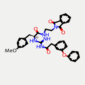 COc1ccc(C[C@H](NC(=N)NC(=O)Cc2cccc(Oc3ccccc3)c2)C(=O)NCCN2C(=O)c3ccccc3C2=O)cc1